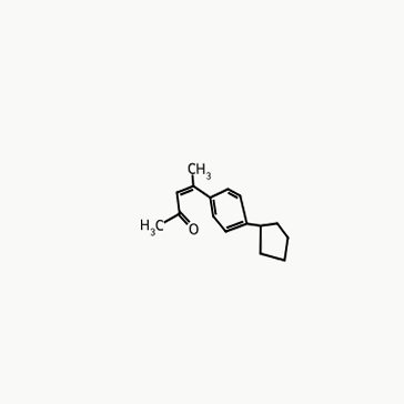 CC(=O)/C=C(/C)c1ccc(C2CCCC2)cc1